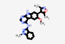 COc1cc2c(cc1-c1c(C)noc1C)[nH]c1ncnc(Nc3nn(C)c4ccccc34)c12